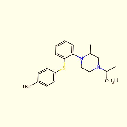 CC(C(=O)O)N1CCN(c2ccccc2Sc2ccc(C(C)(C)C)cc2)C(C)C1